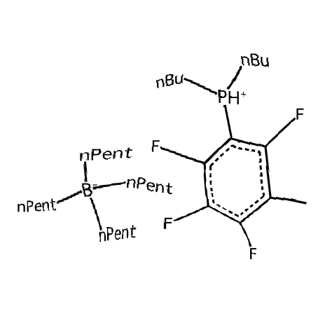 CCCCC[B-](CCCCC)(CCCCC)CCCCC.CCCC[PH+](CCCC)c1c(F)c(C)c(F)c(F)c1F